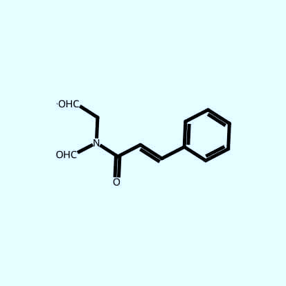 O=[C]CN(C=O)C(=O)C=Cc1ccccc1